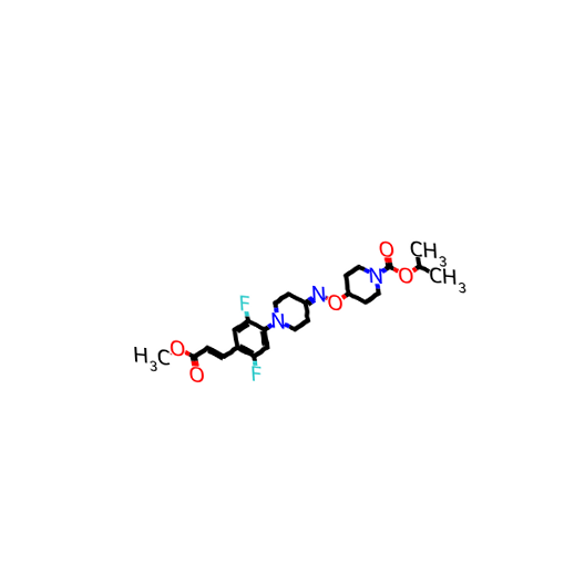 COC(=O)/C=C/c1cc(F)c(N2CCC(=NOC3CCN(C(=O)OC(C)C)CC3)CC2)cc1F